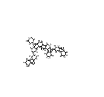 c1ccc(-n2c3ccc(-c4ccc5oc6ccccc6c5c4)cc3c3c4oc5c(ccc6c5c5ccccc5n6-c5ccc6oc7ccccc7c6c5)c4ccc32)cc1